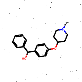 CC(C)N1CCC(Oc2ccc(C(O)c3ccccc3)cc2)CC1